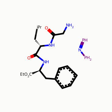 CCOC(=O)[C@H](Cc1ccccc1)NC(=O)[C@H](CC(C)C)NC(=O)CN.P=NP